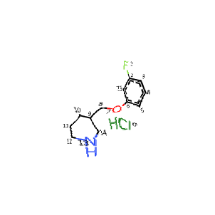 Cl.Fc1cccc(OCC2CCCNC2)c1